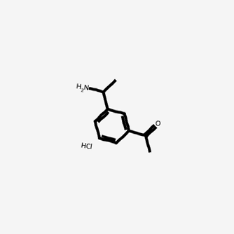 CC(=O)c1cccc(C(C)N)c1.Cl